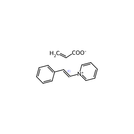 C(=C\[n+]1ccccc1)/c1ccccc1.C=CC(=O)[O-]